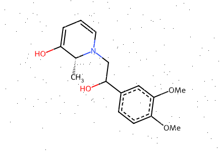 COc1ccc(C(O)CN2C=CC=C(O)[C@H]2C)cc1OC